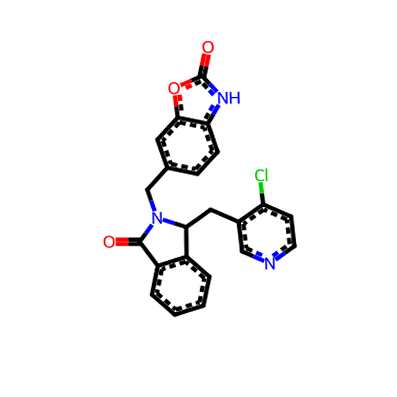 O=C1c2ccccc2C(Cc2cnccc2Cl)N1Cc1ccc2[nH]c(=O)oc2c1